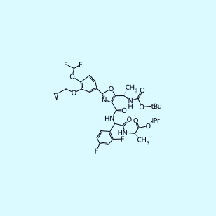 CC(C)OC(=O)[C@H](C)NC(=O)C(NC(=O)c1nc(-c2ccc(OC(F)F)c(OCC3CC3)c2)oc1[C@H](C)NC(=O)OC(C)(C)C)c1ccc(F)cc1F